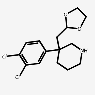 Clc1ccc(C2(CC3OCCO3)CCCNC2)cc1Cl